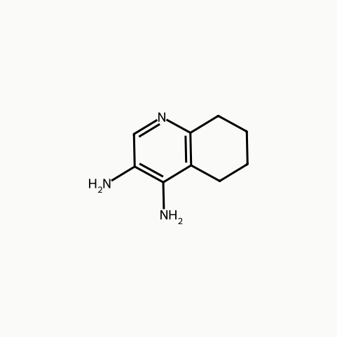 Nc1cnc2c(c1N)CCCC2